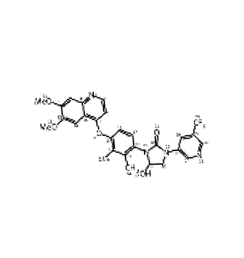 CCc1c(Oc2ccnc3cc(OC)c(OC)cc23)ccc(N2C(=O)N(c3cncc(C(F)(F)F)c3)CC2O)c1C